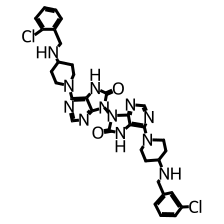 O=c1[nH]c2c(N3CCC(NCc4cccc(Cl)c4)CC3)ncnc2n1-n1c(=O)[nH]c2c(N3CCC(NCc4ccccc4Cl)CC3)ncnc21